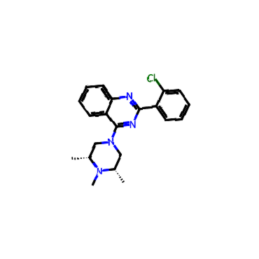 C[C@@H]1CN(c2nc(-c3ccccc3Cl)nc3ccccc23)C[C@H](C)N1C